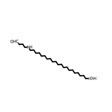 CCCCCCCCCCCCCCCCCCCCCCCCCCCCCCCNCCCC=O